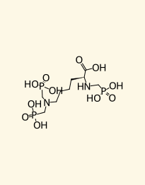 O=C(O)[C@H](CCCCN(CP(=O)(O)O)CP(=O)(O)O)NCP(=O)(O)O